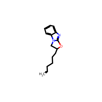 C=CCCCCC1Cn2c(nc3ccccc32)O1